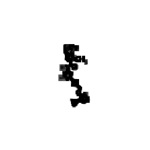 COCc1cc(C(=O)Nc2cc(C3CC(COc4nscc4C4CC4)C3)[nH]n2)n(C)n1